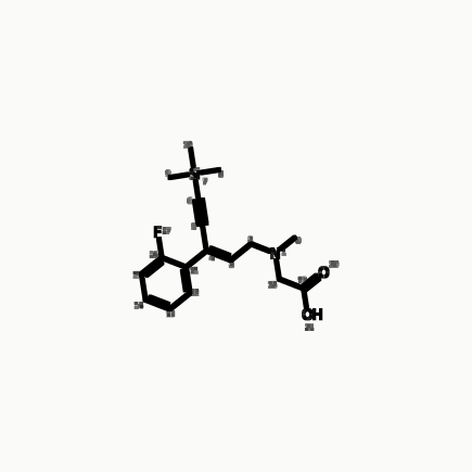 CN(CC=C(C#C[Si](C)(C)C)c1ccccc1F)CC(=O)O